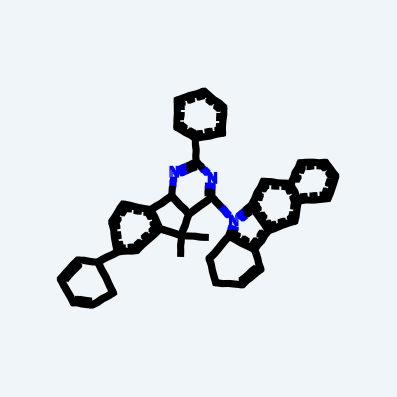 CC1(C)c2cc(C3C=CC=CC3)ccc2C2N=C(c3ccccc3)N=C(n3c4c(c5cc6ccccc6cc53)C=CCC4)C21